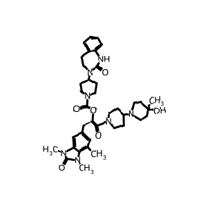 Cc1cc(C[C@@H](OC(=O)N2CCC(N3CCc4ccccc4NC3=O)CC2)C(=O)N2CCC(N3CCC(C)(O)CC3)CC2)cc2c1n(C)c(=O)n2C